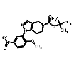 COc1ccc([N+](=O)[O-])cc1-n1ncc2c1CCN(C(=O)OC(C)(C)C)C2